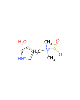 C[N+](C)(C)[SH](=O)=O.O.c1cc[nH]c1